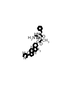 C[C@H](NC(=O)[C@H](Cc1ccccc1)NC(=O)CN)C(=O)O[C@H]1CC[C@@]2(C)C(=CC[C@@H]3[C@@H]2CC[C@]2(C)C(c4cccnc4)=CC[C@@H]32)C1